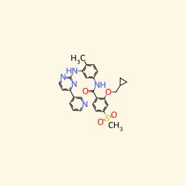 Cc1ccc(NC(=O)c2ccc(S(C)(=O)=O)cc2OCC2CC2)cc1Nc1nccc(-c2cccnc2)n1